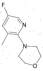 Cc1cc(F)cnc1N1CCOCC1